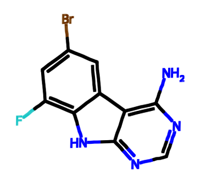 Nc1ncnc2[nH]c3c(F)cc(Br)cc3c12